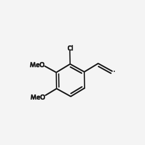 [CH]=Cc1ccc(OC)c(OC)c1Cl